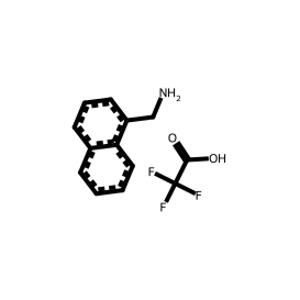 NCc1cccc2ccccc12.O=C(O)C(F)(F)F